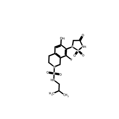 CC(C)CNS(=O)(=O)N1CCc2cc(O)c(N3CC(=O)NS3(=O)=O)c(F)c2C1